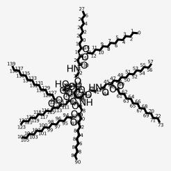 CCCCCCCCCCCCCC(=O)O[C@H](CCCCCCCCCCC)CC(=O)NCCOC[C@H]1O[C@H](OCCNC(=O)C[C@@H](CCCCCCCCCCC)OC(=O)CCCCCCCCCCCCC)[C@@H](NC(=O)C[C@@H](CCCCCCCCCCC)OC(=O)CCCCCCCCCCCCC)[C@@H](OC(=O)C[C@@H](CCCCCCCCCCC)OC(=O)CCCCCCCCCCCCC)[C@@H]1OP(=O)(O)O